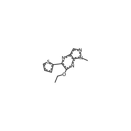 CCOc1nc2c(cnn2C)nc1-c1cccs1